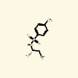 Cc1ccc(S(=O)(=O)N[C@@H](C)CO)cc1